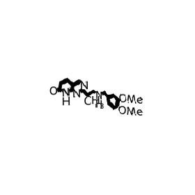 COc1ccc(CNC[C@H](C)c2ncc3ccc(=O)[nH]c3n2)cc1OC